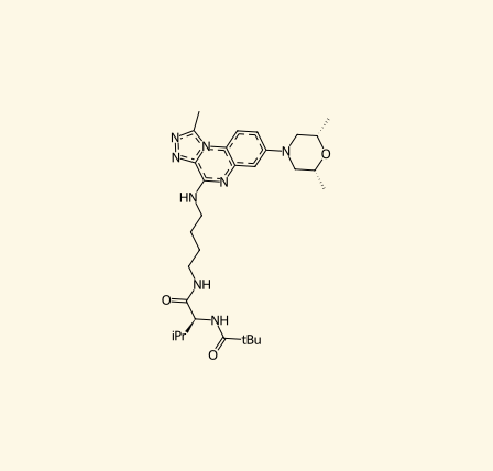 Cc1nnc2c(NCCCCNC(=O)[C@@H](NC(=O)C(C)(C)C)C(C)C)nc3cc(N4C[C@@H](C)O[C@@H](C)C4)ccc3n12